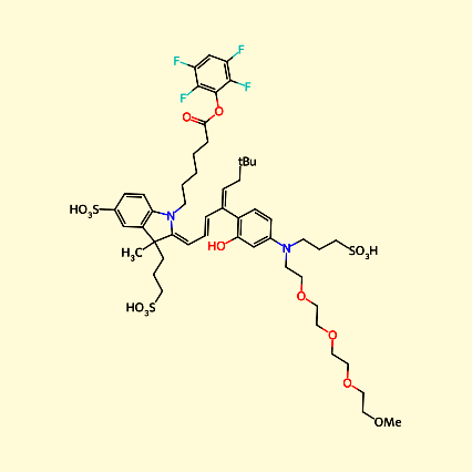 COCCOCCOCCOCCN(CCCS(=O)(=O)O)c1ccc(C(=C\CC(C)(C)C)/C=C/C=C2\N(CCCCCC(=O)Oc3c(F)c(F)cc(F)c3F)c3ccc(S(=O)(=O)O)cc3C2(C)CCCS(=O)(=O)O)c(O)c1